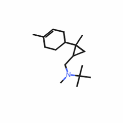 CC1=CCC(C2(C)CC2CN(C)C(C)(C)C)CC1